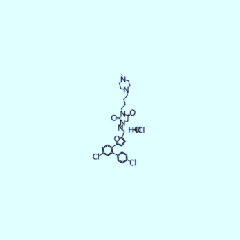 CN1CCN(CCCCN2C(=O)CN(/N=C/c3ccc(-c4ccc(Cl)cc4-c4ccc(Cl)cc4)o3)C2=O)CC1.Cl.Cl